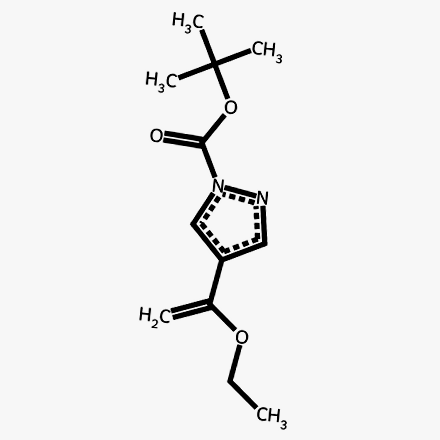 C=C(OCC)c1cnn(C(=O)OC(C)(C)C)c1